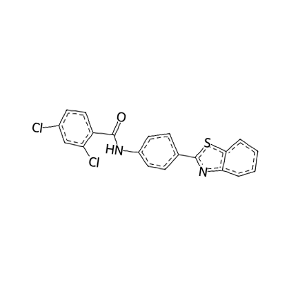 O=C(Nc1ccc(-c2nc3ccccc3s2)cc1)c1ccc(Cl)cc1Cl